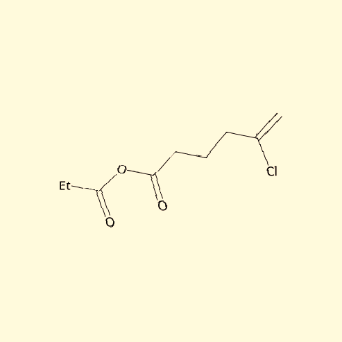 C=C(Cl)CCCC(=O)OC(=O)CC